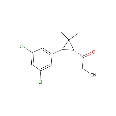 CC1(C)C(c2cc(Cl)cc(Cl)c2)[C@H]1C(=O)CC#N